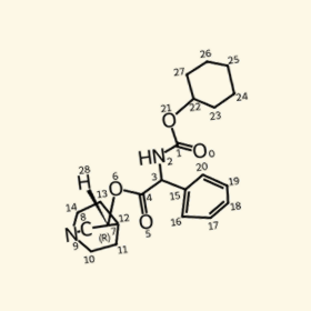 O=C(NC(C(=O)O[C@H]1CN2CCC1CC2)c1ccccc1)OC1CCCCC1